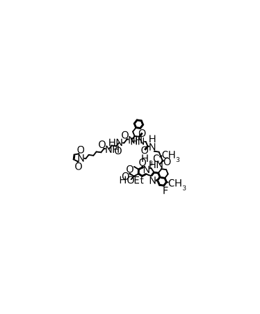 CC[C@@]1(O)C(=O)OCc2c1cc1n(c2=O)Cc2c-1nc1cc(F)c(C)c3c1c2[C@@H](NC(=O)C(C)(C)CCNC(=O)CNC(=O)C(Cc1ccccc1)NC(=O)CNC(=O)CNC(=O)CCCCCN1C(=O)C=CC1=O)CC3